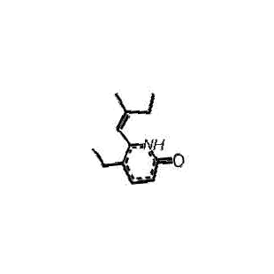 CC/C(C)=C\c1[nH]c(=O)ccc1CC